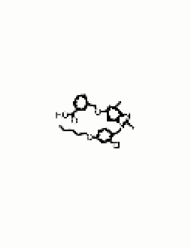 CCCCCOc1ccc(Cn2c(C)nc3c(C)cc(OCc4cccc(C(=O)O)c4)cc32)c(Cl)c1